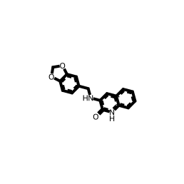 O=c1[nH]c2ccccc2cc1NCc1ccc2c(c1)OCO2